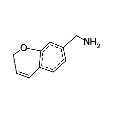 NCc1ccc2c(c1)OCC=C2